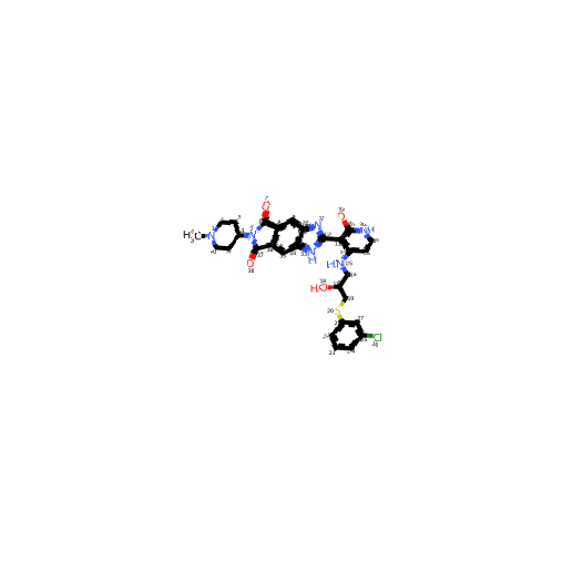 CN1CCC(N2C(=O)c3cc4nc(-c5c(NCC(O)CSc6cccc(Cl)c6)cc[nH]c5=O)[nH]c4cc3C2=O)CC1